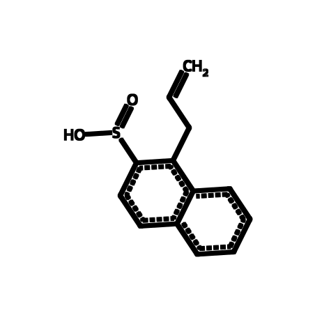 C=CCc1c(S(=O)O)ccc2ccccc12